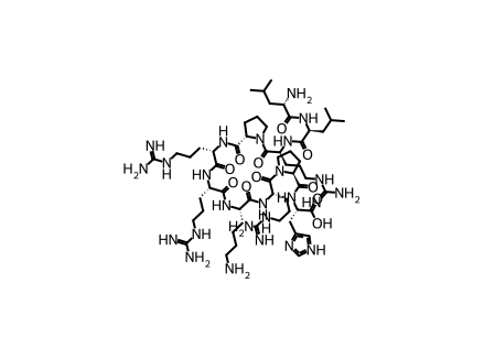 CC(C)C[C@H](NC(=O)[C@@H](N)CC(C)C)C(=O)N[C@@H](CCCNC(=N)N)C(=O)N1CCC[C@H]1C(=O)N[C@@H](CCCNC(=N)N)C(=O)N[C@@H](CCCNC(=N)N)C(=O)N[C@@H](CCCCN)C(=O)N[C@@H](CCCNC(=N)N)C(=O)N1CCC[C@H]1C(=O)N[C@@H](Cc1c[nH]cn1)C(=O)O